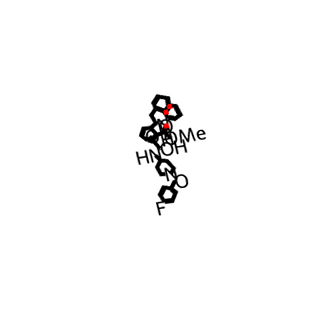 COC(=O)C1=C(C(O)NC2CCN(C(=O)c3ccc(F)cc3)CC2)C2C=CC1(C(Cc1ccccc1)Nc1ccccc1)O2